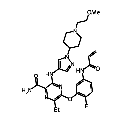 C=CC(=O)Nc1ccc(F)c(Oc2nc(Nc3cnn(C4CCN(CCOC)CC4)c3)c(C(N)=O)nc2CC)c1